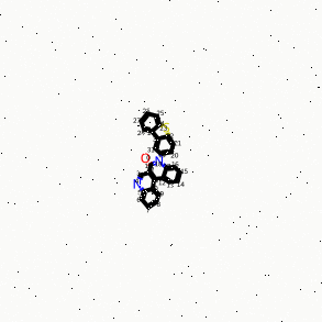 O=c1c2cnc3ccccc3c2c2ccccc2n1-c1ccc2sc3ccccc3c2c1